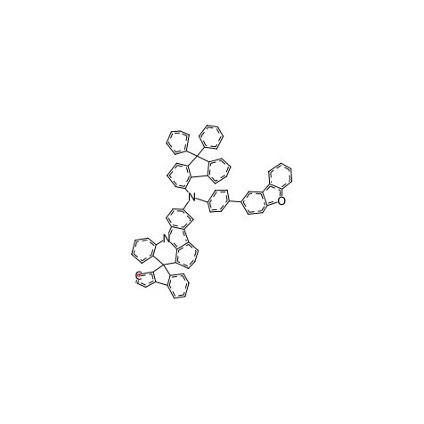 c1ccc(C2(c3ccccc3)c3ccccc3-c3c(N(c4ccc(-c5ccc6oc7ccccc7c6c5)cc4)c4ccc5c(c4)c4cccc6c4n5-c4ccccc4C64c5ccccc5-c5ccccc54)cccc32)cc1